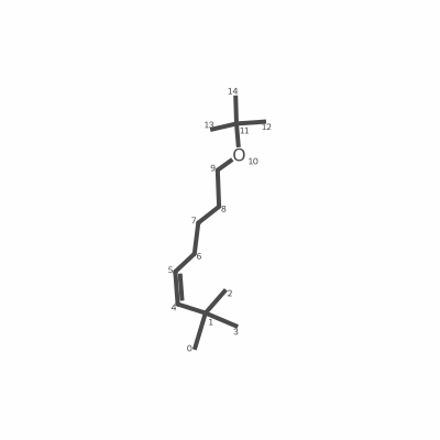 CC(C)(C)/C=C\CCCCOC(C)(C)C